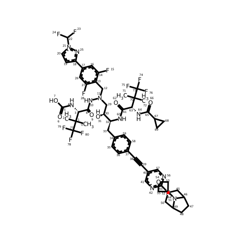 CC(C)([C@H](NC(=O)O)C(=O)NN(Cc1c(F)cc(-c2ccn(C(F)F)n2)cc1F)C[C@H](O)[C@H](Cc1ccc(C#Cc2cnc(N3CC4CCC(C3)N4C3COC3)nc2)cc1)NC(=O)[C@@H](NC(=O)C1CC1)C(C)(C)C(F)(F)F)C(F)(F)F